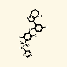 O=S(=O)(Nc1cscn1)c1cc(Cl)c(Oc2ccc(Cl)cc2-c2cnn3c2NCCC3)cc1F